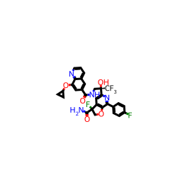 NC(=O)C1(F)COc2c1cc([C@@](O)(CNC(=O)c1cc(OC3CC3)c3ncccc3c1)C(F)(F)F)nc2-c1ccc(F)cc1